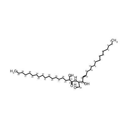 CCCCCCCCCCCCCC=CC(O)C(CO)NC(=O)C(O)CCCCCCCCCCCCCCCC